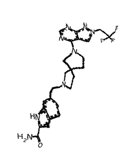 NC(=O)c1cc2ccc(CN3CCC4(CCN(c5ncnc6nn(CC(F)(F)F)cc56)C4)C3)cc2[nH]1